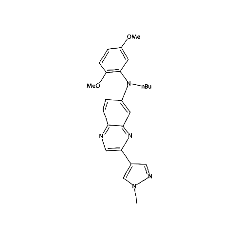 CCCCN(c1ccc2ncc(-c3cnn(C)c3)nc2c1)c1cc(OC)ccc1OC